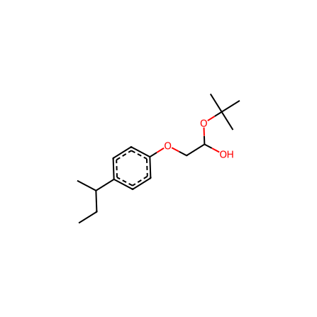 CCC(C)c1ccc(OCC(O)OC(C)(C)C)cc1